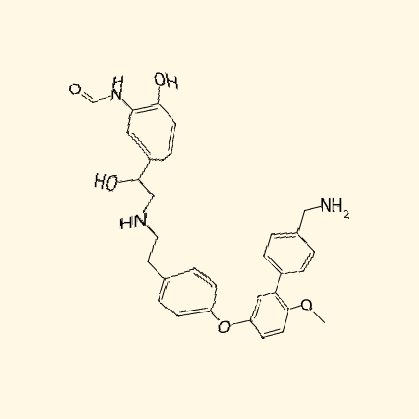 COc1ccc(Oc2ccc(CCNCC(O)c3ccc(O)c(NC=O)c3)cc2)cc1-c1ccc(CN)cc1